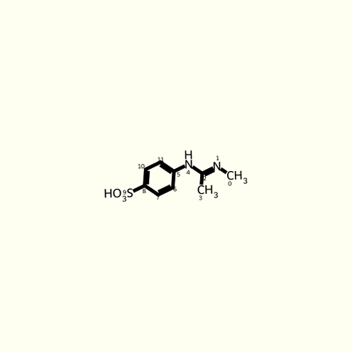 C/N=C(\C)Nc1ccc(S(=O)(=O)O)cc1